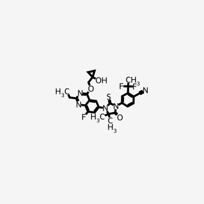 CCc1nc(OCC2(O)CC2)c2cc(N3C(=S)N(c4ccc(C#N)c(C(C)(F)F)c4)C(=O)C3(C)C)cc(F)c2n1